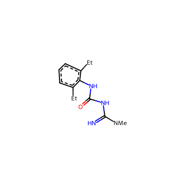 CCc1cccc(CC)c1NC(=O)NC(=N)NC